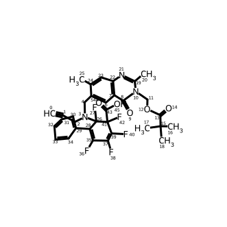 C#CCN(Cc1cc2c(=O)n(COC(=O)C(C)(C)C)c(C)nc2cc1C)C1(F)C(c2ccccc2)=C(F)C(F)=C(F)C1(F)C(=O)O